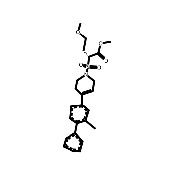 COCC[C@H](C(=O)OC)S(=O)(=O)N1CC=C(c2ccc(-c3ccccc3)c(C)c2)CC1